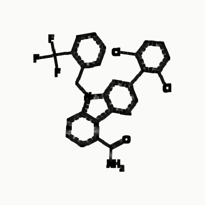 NC(=O)c1cccc2c1c1[c]cc(-c3c(Cl)cccc3Cl)cc1n2Cc1ccccc1C(F)(F)F